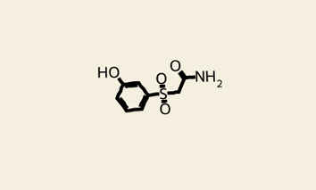 NC(=O)CS(=O)(=O)c1cccc(O)c1